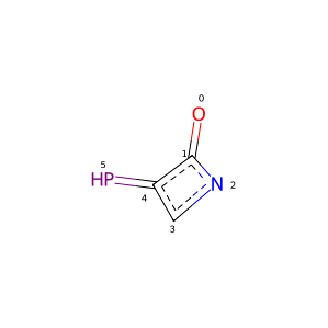 O=c1ncc1=P